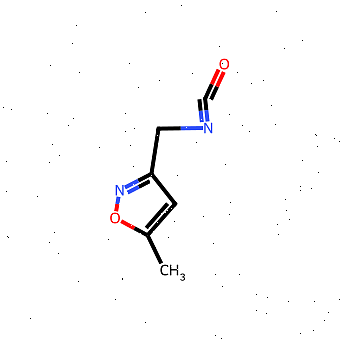 Cc1cc(CN=C=O)no1